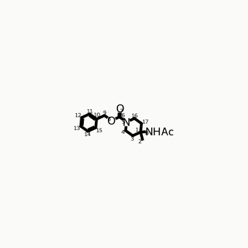 CC(=O)NC1(C)CCN(C(=O)OCc2ccccc2)CC1